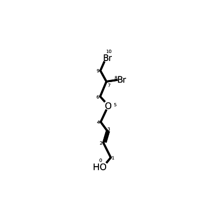 OCC=CCOCC(Br)CBr